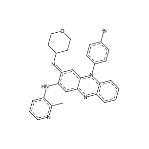 Cc1ncccc1Nc1cc2nc3ccccc3n(-c3ccc(Br)cc3)c-2c/c1=N\C1CCOCC1